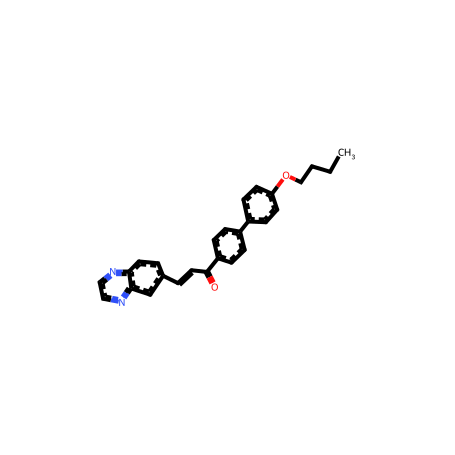 CCCCOc1ccc(-c2ccc(C(=O)/C=C/c3ccc4nccnc4c3)cc2)cc1